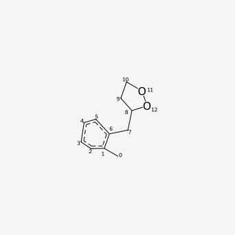 Cc1ccccc1CC1CCOO1